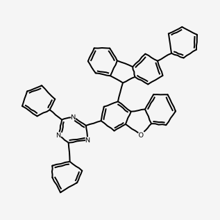 c1ccc(-c2ccc3c(c2)-c2ccccc2C3c2cc(-c3nc(-c4ccccc4)nc(-c4ccccc4)n3)cc3oc4ccccc4c23)cc1